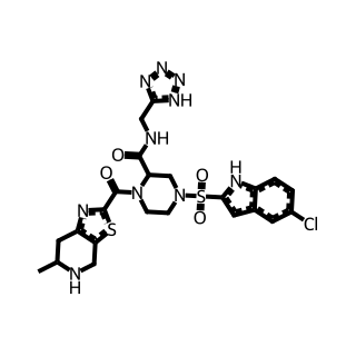 CC1Cc2nc(C(=O)N3CCN(S(=O)(=O)c4cc5cc(Cl)ccc5[nH]4)CC3C(=O)NCc3nnn[nH]3)sc2CN1